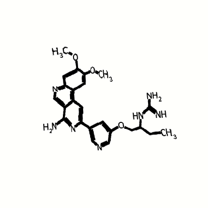 CCC(COc1cncc(-c2cc3c(cnc4cc(OC)c(OC)cc43)c(N)n2)c1)NC(=N)N